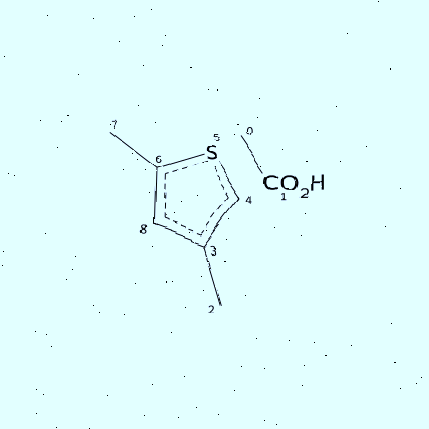 CC(=O)O.Cc1csc(C)c1